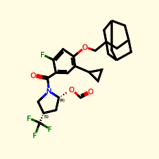 O=CO[C@@H]1C[C@H](C(F)(F)F)CN1C(=O)c1cc(C2CC2)c(OCC23CC4CC(CC(C4)C2)C3)cc1F